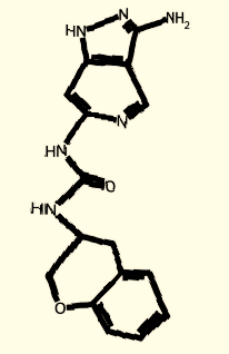 Nc1n[nH]c2cc(NC(=O)NC3COc4ccccc4C3)ncc12